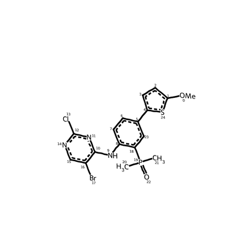 COc1ccc(-c2ccc(Nc3nc(Cl)ncc3Br)c(P(C)(C)=O)c2)s1